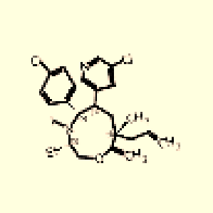 C=CC[C@@]1(C)C[C@H](c2cncc(Cl)c2)[C@@H](c2ccc(Cl)cc2)N(I)[C@@H](CC)COC1=C